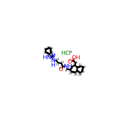 Cl.O=C(O)CC1C=C(CNC(=O)CCCNc2nc3ccccc3[nH]2)C=Cc2ccccc21